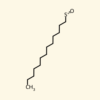 CCCCCCCCCCCCC[S+]=O